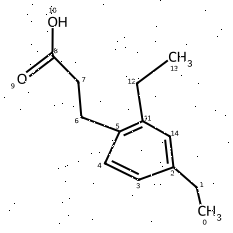 CCc1ccc(CCC(=O)O)c(CC)c1